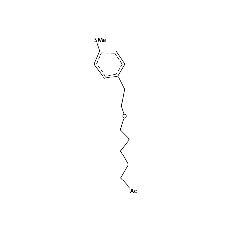 CSc1ccc(CCOCCCCCC(C)=O)cc1